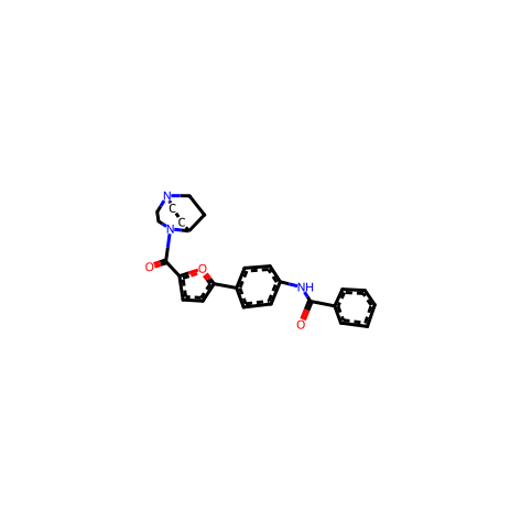 O=C(Nc1ccc(-c2ccc(C(=O)N3CCN4CCC3CC4)o2)cc1)c1ccccc1